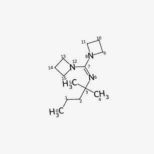 CCCC(C)(C)N=C(N1CCC1)N1CCC1